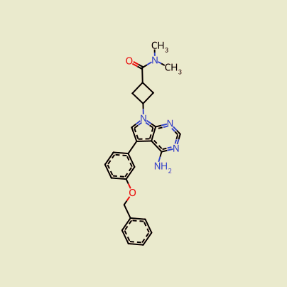 CN(C)C(=O)C1CC(n2cc(-c3cccc(OCc4ccccc4)c3)c3c(N)ncnc32)C1